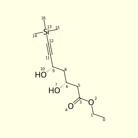 CCOC(=O)C[C@H](O)C[C@H](O)C#C[Si](C)(C)C